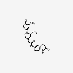 Cc1cc(N2CCN(CC(=O)Nc3ccc4c(c3)CCC(=O)N4)C[C@H]2C)ccc1Cl